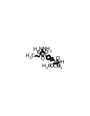 CCCCN1C(=O)C(=C(N)N)C(=O)N(C2CCC3(CC2)CC(N2C(=O)NC(=O)[C@@]2(C)COC)C3)C1=O